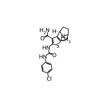 CN1C2CC[C@@H]1c1c(sc(NC(=O)Nc3ccc(Cl)cc3)c1C(N)=O)C2